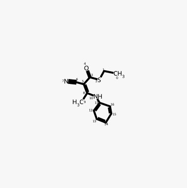 CCSC(=O)C(C#N)=C(C)Nc1ccccc1